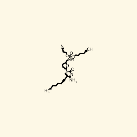 C#CCCCCC#Cc1cn([C@H]2CCC(CNP(=O)(OCCC#N)OCCCCC#C)O2)c(=O)nc1N